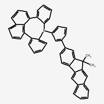 CC1(C)c2cc(-c3cccc(N4c5ccccc5-c5cccc6cccc(c56)-c5ccccc54)c3)ccc2-c2cc3ccccc3cc21